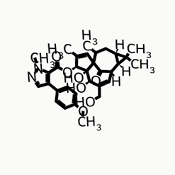 COc1ccc(-c2cnn(C)c2C(=O)O[C@H]2C(C)=CC34C(=O)[C@@H](C=C(CO)[C@@H](O)[C@]23O)[C@H]2[C@@H](CC4C)C2(C)C)cc1